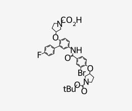 CC(C)(C)OC(=O)N1CC[C@H](Oc2ccc(C(=O)Nc3ccc(O[C@H]4CCN(C(=O)O)C4)c(-c4ccc(F)cc4)c3)cc2Br)C1